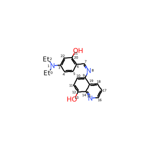 CCN(CC)c1ccc(/C=N\c2ccc(O)c3ncccc23)c(O)c1